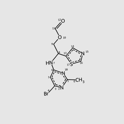 Cc1nc(Br)cc(NC(COC=O)c2cncs2)n1